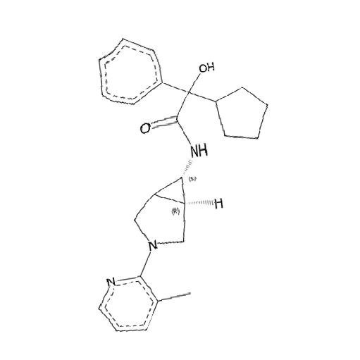 Cc1cccnc1N1CC2[C@H](C1)[C@H]2NC(=O)C(O)(c1ccccc1)C1CCCC1